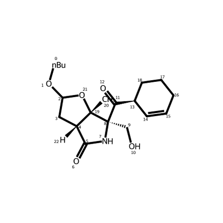 CCCCOC1C[C@H]2C(=O)N[C@](CO)(C(=O)[C@@H]3C=CCCC3)[C@@]2(C)O1